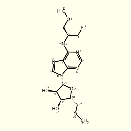 COC[C@@H](CF)Nc1ncnc2c1ncn2[C@@H]1O[C@H](COC)[C@@H](O)[C@H]1O